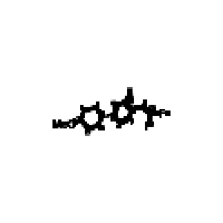 CO[C@H]1CC[C@H](c2ccc(C=C(F)F)c(F)c2)CC1